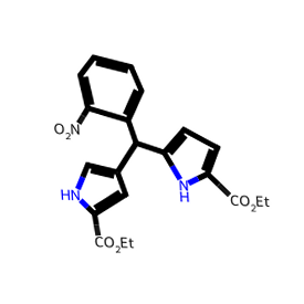 CCOC(=O)c1cc(C(c2ccc(C(=O)OCC)[nH]2)c2ccccc2[N+](=O)[O-])c[nH]1